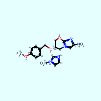 O=[N+]([O-])c1cn2c(n1)OC[C@@H](OCc1ccc(OC(F)(F)F)cc1)C2.O=[N+]([O-])n1ccnc1